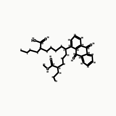 CCCCC(CCCCC(CCCC(CCC)C(=O)OC)c1cccc2c1C(=O)c1ccccc1C2=O)C(=O)O